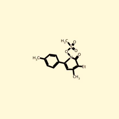 CCc1c(C)cc(-c2ccc(C)cc2)n(OS(C)(=O)=O)c1=O